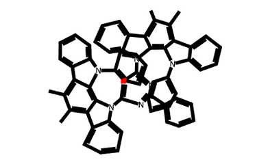 Cc1c(C)c2c3ccccc3n(-c3nc(-c4ccccc4)nc(-n4c5ccccc5c5c(C)c(C)c6c7ccccc7n(-c7ccccc7)c6c54)n3)c2c2c1c1ccccc1n2-c1ccccc1